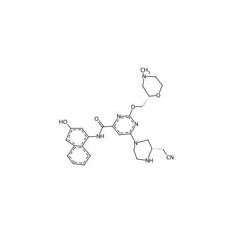 CN1CCO[C@H](COc2nc(C(=O)Nc3cc(O)cc4ccccc34)cc(N3CCN[C@@H](CC#N)C3)n2)C1